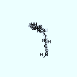 NCCOCCOCCNC(=O)CCCC#Cc1cc2ncn(CC(=O)C[C@H]3NCCC[C@@H]3O)c(=O)c2cc1Cl